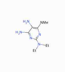 CCN(CC)c1nc(N)c(N)c(NC)n1